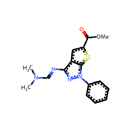 COC(=O)c1cc2c(/N=C/N(C)C)nn(-c3ccccc3)c2s1